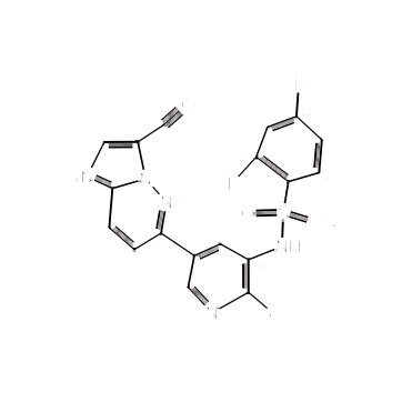 C#Cc1cnc2ccc(-c3cnc(Cl)c(NS(=O)(=O)c4ccc(F)cc4F)c3)nn12